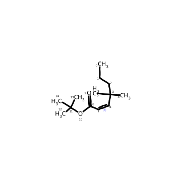 CCCC(C)(C)/C=C\C(=O)OC(C)(C)C